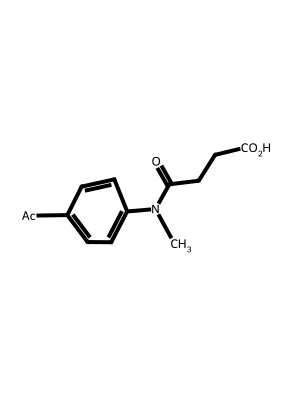 CC(=O)c1ccc(N(C)C(=O)CCC(=O)O)cc1